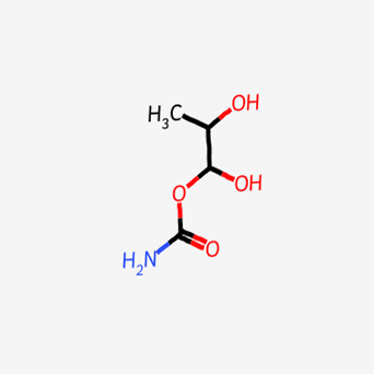 CC(O)C(O)OC(N)=O